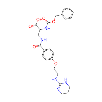 O=C(NC(CNC(=O)c1ccc(OCCNC2=NCCCN2)cc1)C(=O)O)OCc1ccccc1